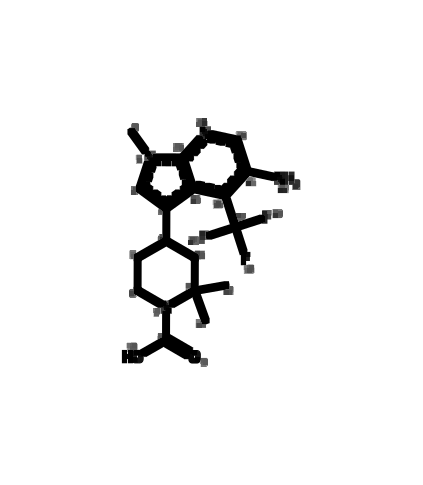 Cn1cc(C2CCN(C(=O)O)C(C)(C)C2)c2c(C(F)(F)F)c(N)cnc21